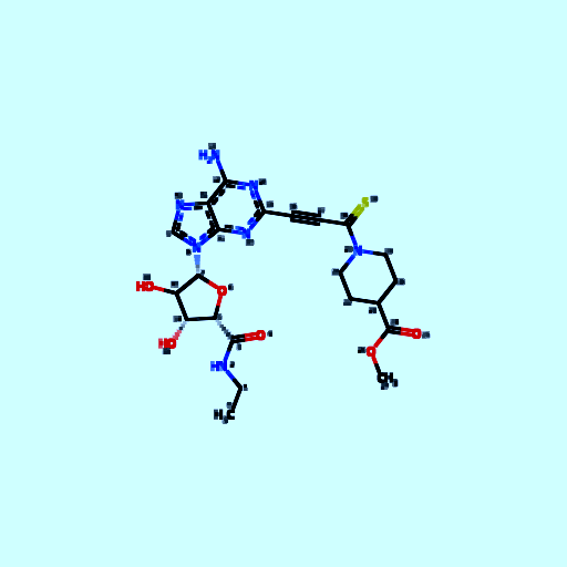 CCNC(=O)[C@H]1O[C@@H](n2cnc3c(N)nc(C#CC(=S)N4CCC(C(=O)OC)CC4)nc32)C(O)[C@H]1O